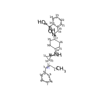 CC/C(=C\c1ccccc1)[C@@H]1C[C@H]1NC1CCC(NCc2ccccc2C(=O)O)CC1